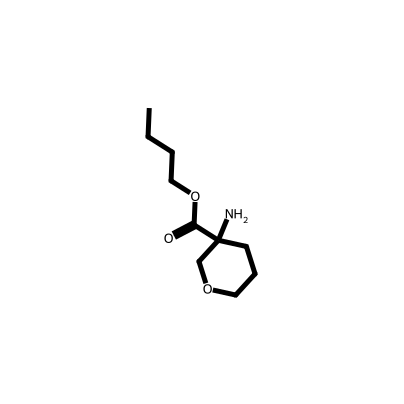 CCCCOC(=O)C1(N)CCCOC1